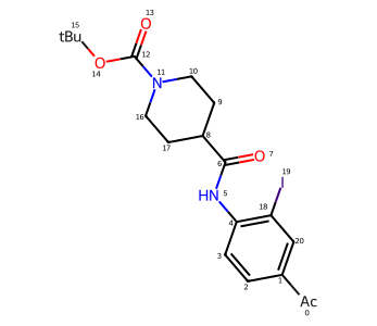 CC(=O)c1ccc(NC(=O)C2CCN(C(=O)OC(C)(C)C)CC2)c(I)c1